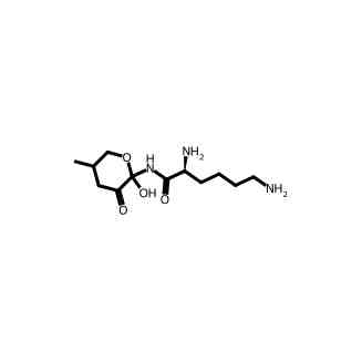 CC1COC(O)(NC(=O)[C@@H](N)CCCCN)C(=O)C1